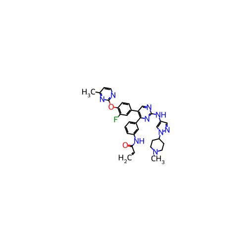 C=CC(=O)Nc1cccc(-c2nc(Nc3cnn(C4CCN(C)CC4)c3)ncc2-c2ccc(Oc3nccc(C)n3)c(F)c2)c1